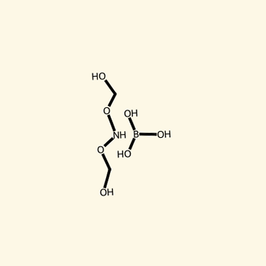 OB(O)O.OCONOCO